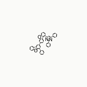 c1ccc(-c2cc(-c3cccc4oc5cc(-c6cc(-c7ccccc7)c7oc8ccccc8c7c6)ccc5c34)nc(-c3ccccc3)n2)cc1